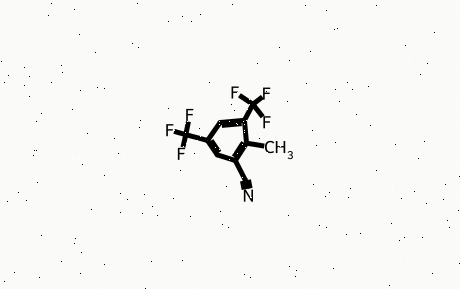 Cc1c(C#N)cc(C(F)(F)F)cc1C(F)(F)F